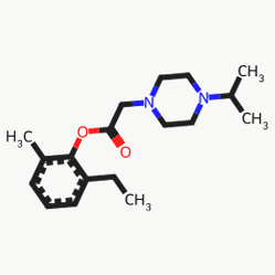 CCc1cccc(C)c1OC(=O)CN1CCN(C(C)C)CC1